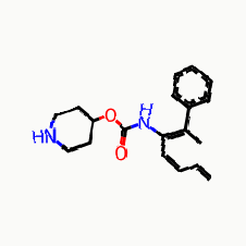 C=C/C=C\C(NC(=O)OC1CCNCC1)=C(/C)c1ccccc1